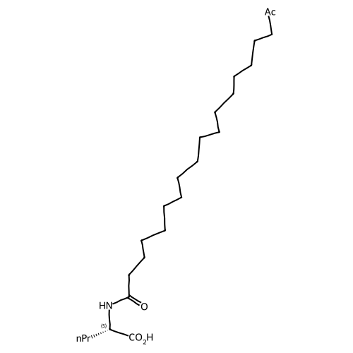 CCC[C@H](NC(=O)CCCCCCCCCCCCCCCCC(C)=O)C(=O)O